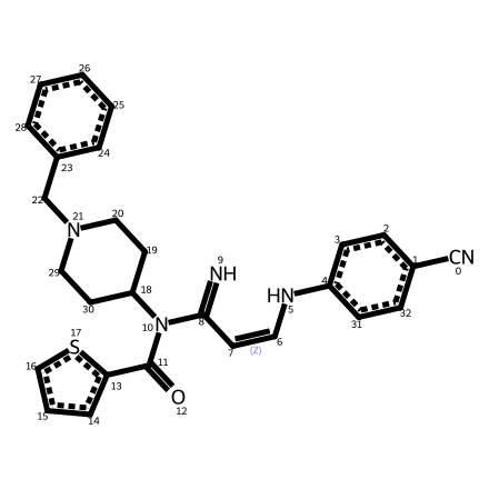 N#Cc1ccc(N/C=C\C(=N)N(C(=O)c2cccs2)C2CCN(Cc3ccccc3)CC2)cc1